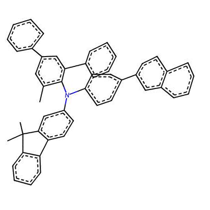 Cc1cc(-c2ccccc2)cc(-c2ccccc2)c1N(c1ccc(-c2ccc3ccccc3c2)cc1)c1ccc2c(c1)C(C)(C)c1ccccc1-2